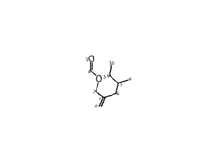 C=C(COC=O)CC(C)CC